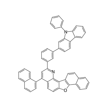 c1ccc(-n2c3ccccc3c3ccc(-c4cccc(-c5cc(-c6cccc7ccccc67)c6ccc7oc8c9ccccc9ccc8c7c6n5)c4)cc32)cc1